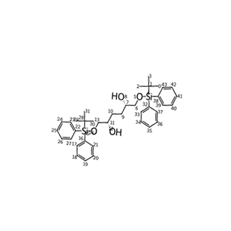 CC(C)(C)[Si](OC[C@@H](O)CC[C@H](O)CO[Si](c1ccccc1)(c1ccccc1)C(C)(C)C)(c1ccccc1)c1ccccc1